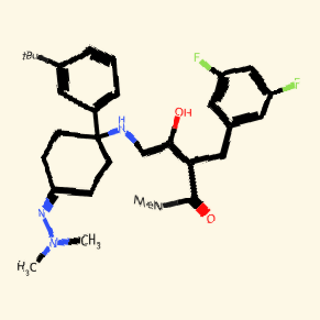 CNC(=O)C(Cc1cc(F)cc(F)c1)C(O)CNC1(c2cccc(C(C)(C)C)c2)CCC(=NN(C)C)CC1